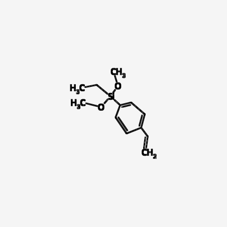 C=Cc1ccc([Si](CC)(OC)OC)cc1